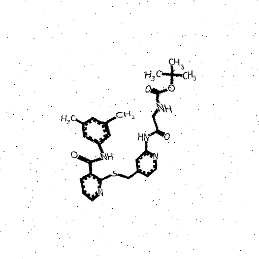 Cc1cc(C)cc(NC(=O)c2cccnc2SCc2ccnc(NC(=O)CNC(=O)OC(C)(C)C)c2)c1